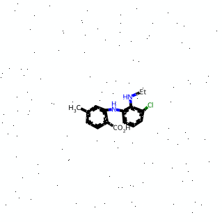 CCNc1c(Cl)cccc1Nc1cc(C)ccc1C(=O)O